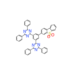 O=S1(=O)c2ccccc2-c2ccc(-c3cc(-c4nc(-c5ccccc5)nc(-c5ccccc5)n4)cc(-c4nc(-c5ccccc5)nc(-c5ccccc5)n4)c3)cc21